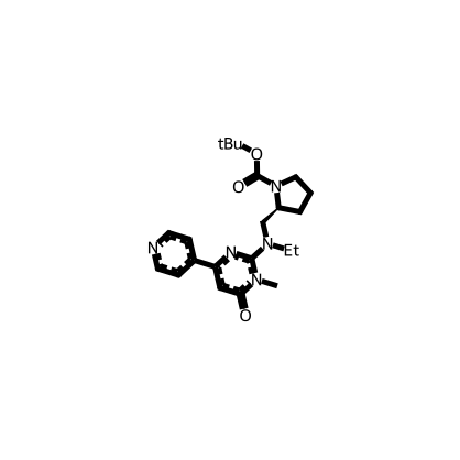 CCN(C[C@@H]1CCCN1C(=O)OC(C)(C)C)c1nc(-c2ccncc2)cc(=O)n1C